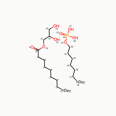 CCCCCCCCCCCCCCCCCC(=O)OCC(O)CO.CCCCCCCCCCCCCCCCOP(=O)(O)O